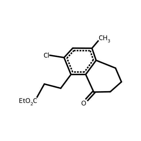 CCOC(=O)CCc1c(Cl)cc(C)c2c1C(=O)CCC2